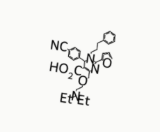 CCN(CC)CCOCC1=C(C(=O)O)C(c2ccc(C#N)cc2)N(CCCc2ccccc2)C(c2ccco2)=N1